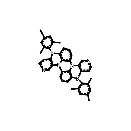 Cc1cc(C)c(B2c3ccncc3N3c4cccc5c4N(c4cnccc4B5c4c(C)cc(C)cc4C)c4cccc2c43)c(C)c1